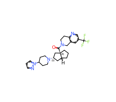 O=C(N1CCc2ncc(C(F)(F)F)cc2C1)[C@@]12CCC[C@@H]1C[C@H](N1CCC(n3cccn3)CC1)C2